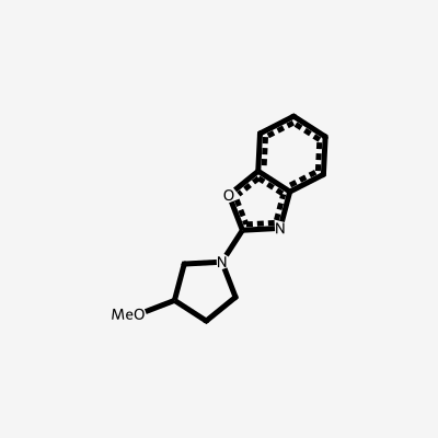 COC1CCN(c2nc3ccccc3o2)C1